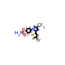 NS(=O)(=O)c1ccc(-n2nc(C(F)(F)F)cc2-c2cc(Br)cs2)cc1